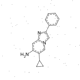 Nc1cc2nc(-c3ccccc3)cn2cc1C1CC1